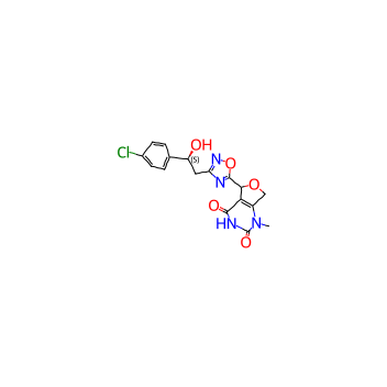 Cn1c2c(c(=O)[nH]c1=O)C(c1nc(C[C@H](O)c3ccc(Cl)cc3)no1)OC2